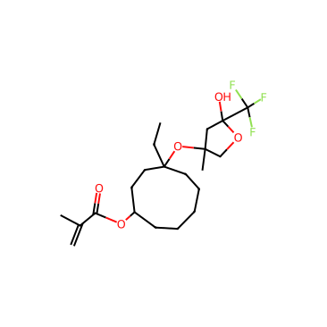 C=C(C)C(=O)OC1CCCCCC(CC)(OC2(C)COC(O)(C(F)(F)F)C2)CC1